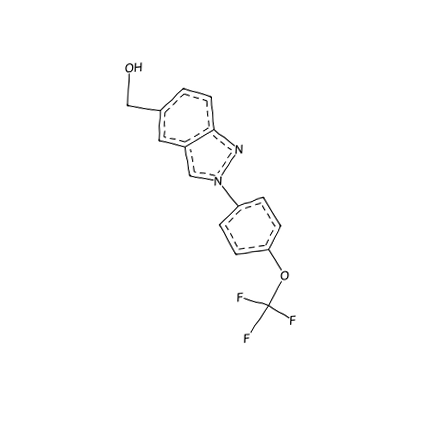 OCc1ccc2nn(-c3ccc(OC(F)(F)F)cc3)cc2c1